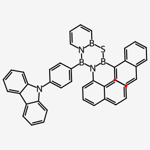 C1=CB2SB(c3cccc4ccccc34)N(c3cccc4ccccc34)B(c3ccc(-n4c5ccccc5c5ccccc54)cc3)N2C=C1